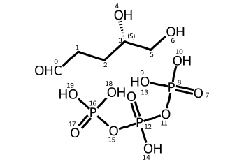 O=CCC[C@H](O)CO.O=P(O)(O)OP(=O)(O)OP(=O)(O)O